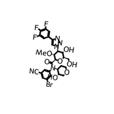 CO[C@@H]1[C@@H](n2cc(-c3cc(F)c(F)c(F)c3)nn2)[C@@H](O)[C@@H](CO)O[C@H]1C(=O)N(c1cc(Br)cc(C#N)c1)[C@H]1CCOC[C@@H]1O